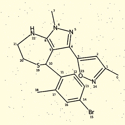 Cc1cc(-c2nn(C)c3c2C(c2ccc(Br)cc2C)SCCN3)on1